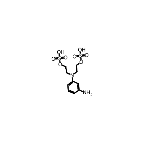 Nc1cccc(N(CCOS(=O)(=O)O)CCOS(=O)(=O)O)c1